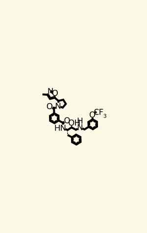 Cc1cc(C2CCCN2C(=O)c2cccc(C(=O)N[C@@H](Cc3ccccc3)[C@@H](O)CNCc3cccc(OC(F)(F)F)c3)c2)on1